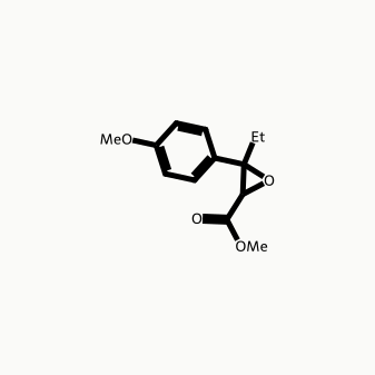 CCC1(c2ccc(OC)cc2)OC1C(=O)OC